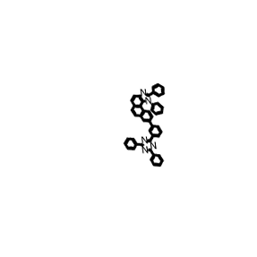 c1ccc(-c2nc(-c3ccccc3)nc(-c3cccc(-c4ccc5c(ccc6ccc7nc(-c8ccccc8)n(-c8ccccc8)c7c65)c4)c3)n2)cc1